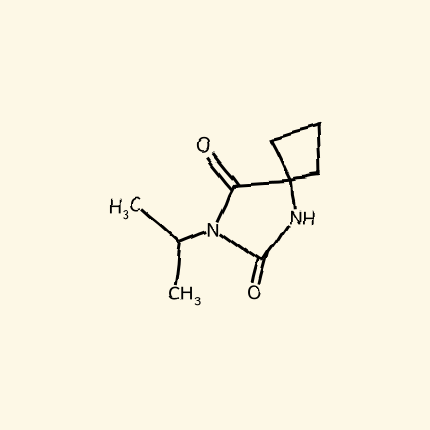 CC(C)N1C(=O)NC2(CCC2)C1=O